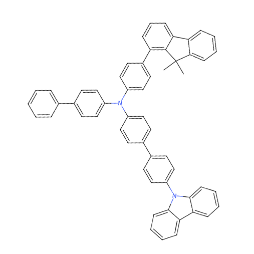 CC1(C)c2ccccc2-c2cccc(-c3ccc(N(c4ccc(-c5ccccc5)cc4)c4ccc(-c5ccc(-n6c7ccccc7c7ccccc76)cc5)cc4)cc3)c21